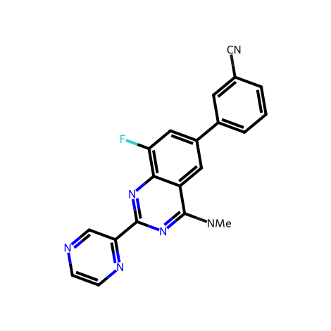 CNc1nc(-c2cnccn2)nc2c(F)cc(-c3cccc(C#N)c3)cc12